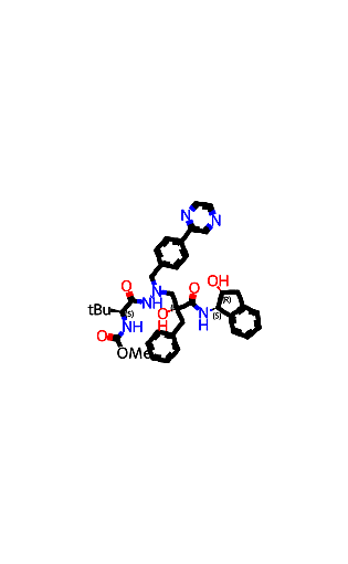 COC(=O)N[C@H](C(=O)NN(Cc1ccc(-c2cnccn2)cc1)C[C@](O)(Cc1ccccc1)C(=O)N[C@H]1c2ccccc2C[C@H]1O)C(C)(C)C